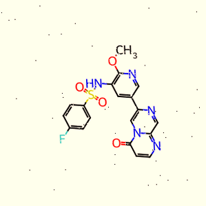 COc1ncc(-c2cn3c(=O)ccnc3cn2)cc1NS(=O)(=O)c1ccc(F)cc1